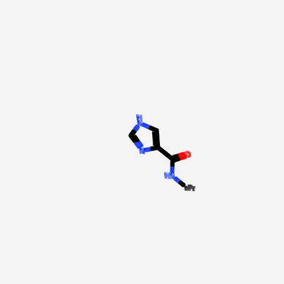 CCCNC(=O)c1c[nH]cn1